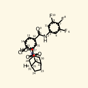 O=C(Nc1cc(F)c(F)c(F)c1)c1ccc(Cl)c(S(=O)(=O)C2C3CC[C@H]2C/C(=N\O)C3)c1